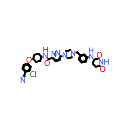 N#Cc1ccc(OC2CCC(NC(=O)c3ccc(N4CCN(Cc5cccc(NC6CCC(=O)NC6=O)c5)CC4)nn3)CC2)cc1Cl